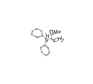 C=C(OC)[SiH](c1ccccc1)c1ccccc1